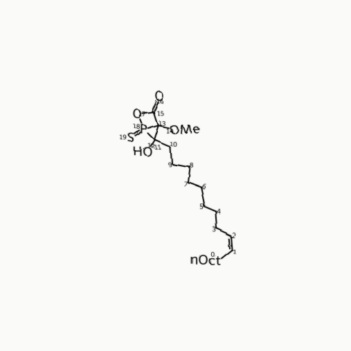 CCCCCCCC/C=C\CCCCCCCCC1(O)C2(OC)C(=O)OP12=S